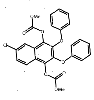 COC(=O)Oc1c(Oc2ccccc2)c(Oc2ccccc2)c(OC(=O)OC)c2cc(Cl)ccc12